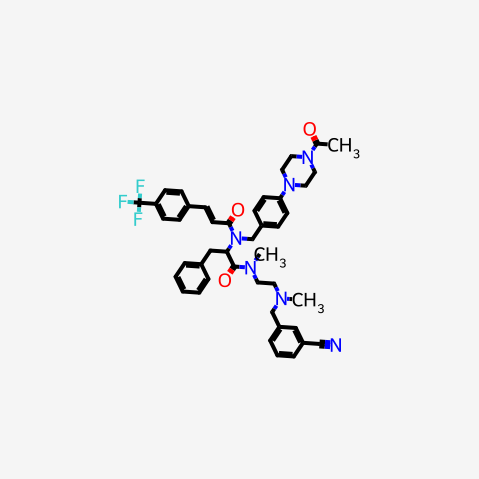 CC(=O)N1CCN(c2ccc(CN(C(=O)C=Cc3ccc(C(F)(F)F)cc3)C(Cc3ccccc3)C(=O)N(C)CCN(C)Cc3cccc(C#N)c3)cc2)CC1